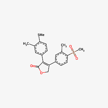 CSc1ccc(C2=C(c3ccc(S(C)(=O)=O)c(C)c3)COC2=O)cc1C